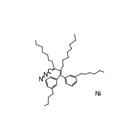 CCCCCCCCC(C(=C=[N+]=[N-])CCCCCCC)=C(c1cccc(CCCC)c1)c1cccc(CCCCCC)c1.[Ni]